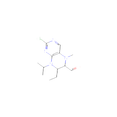 CCC1C(C=O)N(C)c2cnc(Cl)nc2N1C(C)C